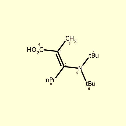 CCC/C(=C(/C)C(=O)O)N(C(C)(C)C)C(C)(C)C